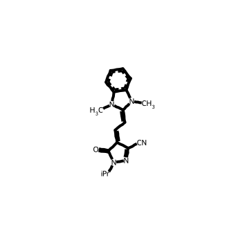 CC(C)N1N=C(C#N)/C(=C\C=C2N(C)c3ccccc3N2C)C1=O